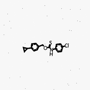 S=C(Nc1ccc(Cl)cc1)OCc1ccc(C2CC2)cc1